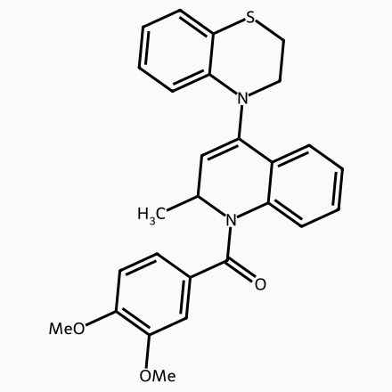 COc1ccc(C(=O)N2c3ccccc3C(N3CCSc4ccccc43)=CC2C)cc1OC